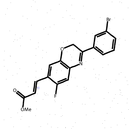 COC(=O)/C=C/c1cc2c(cc1F)N=C(c1cccc(Br)c1)CO2